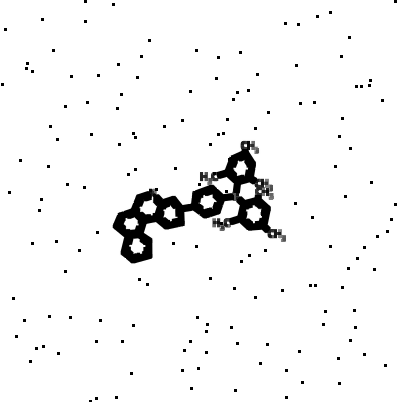 Cc1cc(C)c(B(c2ccc(-c3ccc4c(c3)ncc3ccc5ccccc5c34)cc2)c2c(C)cc(C)cc2C)c(C)c1